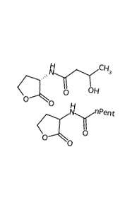 CC(O)CC(=O)N[C@H]1CCOC1=O.CCCCCC(=O)NC1CCOC1=O